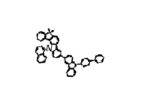 CC1(C)c2ccccc2-c2c1ccc1c3cc(-c4ccc5c(c4)-c4ccccc4C5c4ccc(-c5ccccc5)cc4)ccc3n(-c3cccc4ccccc34)c21